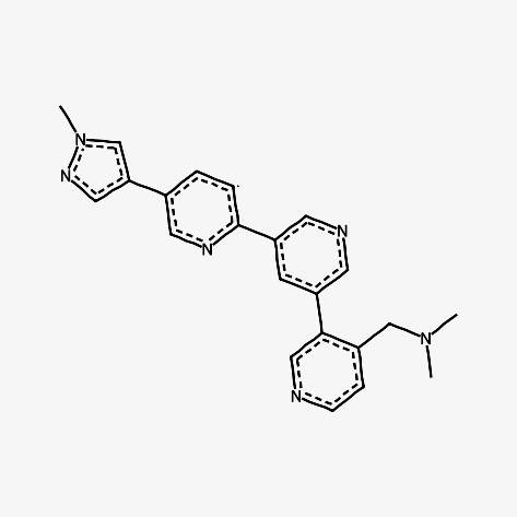 CN(C)Cc1ccncc1-c1cncc(-c2[c]cc(-c3cnn(C)c3)cn2)c1